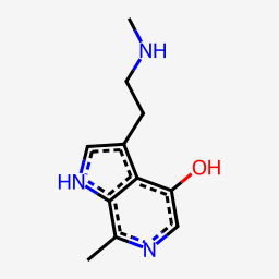 CNCCc1c[nH]c2c(C)ncc(O)c12